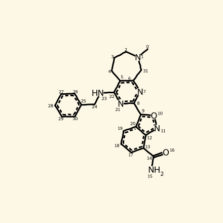 CN1CCCc2c(nc(-c3onc4c(C(N)=O)cccc34)nc2NCc2ccccc2)C1